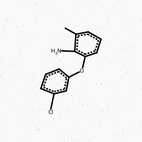 Cc1cccc(Oc2cccc(Cl)c2)c1N